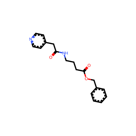 O=C(Cc1ccncc1)NCCCC(=O)OCc1ccccc1